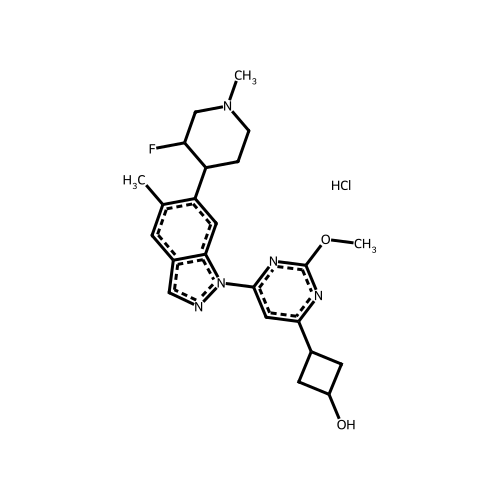 COc1nc(C2CC(O)C2)cc(-n2ncc3cc(C)c(C4CCN(C)CC4F)cc32)n1.Cl